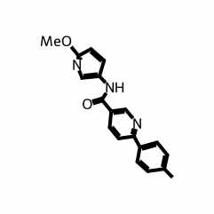 COc1ccc(NC(=O)c2ccc(-c3ccc(C)cc3)nc2)cn1